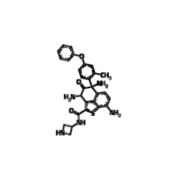 Cc1cc(Oc2ccccc2)ccc1C1(N)C(=O)C(N)c2c(C(=O)NC3CNC3)sc3c(N)ccc1c23